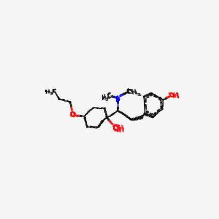 CCCOC1CCC(O)(C(Cc2ccc(O)cc2)N(C)C)CC1